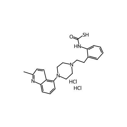 Cc1ccc2c(N3CCN(CCc4ccccc4NC(=O)S)CC3)cccc2n1.Cl.Cl